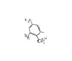 [2H]c1cc(C(F)(F)F)cc(C)c1C(=O)O